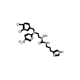 O=C(NCCCc1c[nH]cn1)N(S)CCN(Cc1ccc(Cl)c(Cl)c1)c1ccc([N+](=O)[O-])cn1